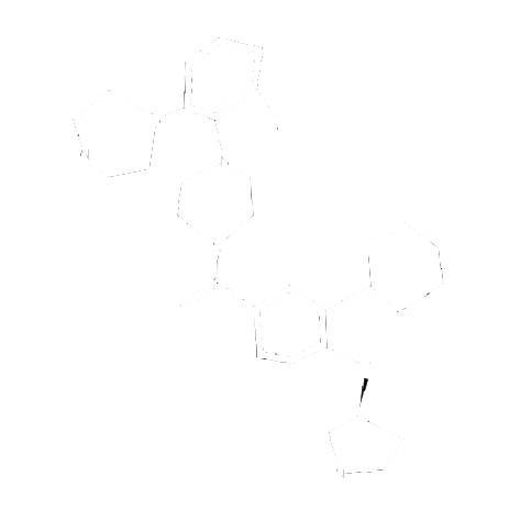 O=C(c1ccc(O[C@H]2CCNC2)c(C2CCCCC2)c1)N1CCN(c2c(F)c[c]cc2N2CCNCC2)CC1